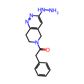 NNc1cc2c(nn1)CCN(C(=O)Cc1ccccc1)C2